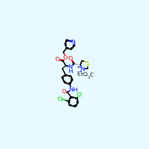 CCOC(=O)N1CSC[C@H]1C(=O)N[C@@H](Cc1ccc(NC(=O)c2c(Cl)cccc2Cl)cc1)C(=O)OCc1ccncc1